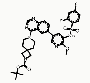 COc1ncc(-c2ccc3ncnc(N4CCC5(CC4)CN(C(=O)OC(C)(C)C)C5)c3c2)cc1NS(=O)(=O)c1ccc(F)cc1F